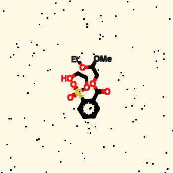 CCOC(COC(=O)c1ccccc1S(=O)(=O)OCCO)OC